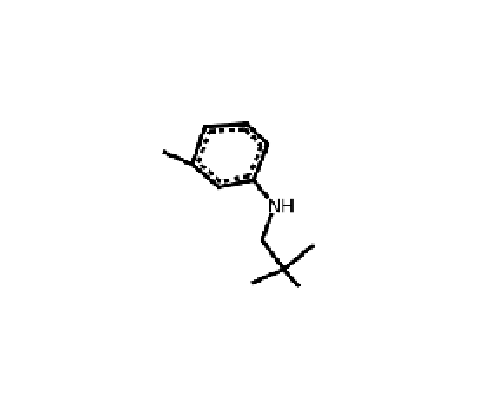 Cc1cccc(NCC(C)(C)C)c1